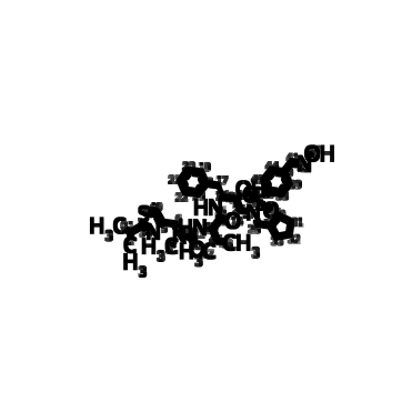 CC(C)c1nc(CN(C)C(=O)N[C@H](C(=O)N[C@@H](Cc2ccccc2)[C@@H](O)CN(CC2CCCC2)S(=O)(=O)c2ccc(C=NO)cc2)C(C)C)cs1